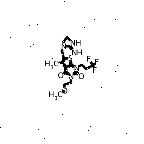 COCCn1c(=O)c2c(C)c(CN3CCNC3=N)sc2n(CCC(F)(F)F)c1=O